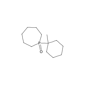 CC1(P2(=O)CCCCCC2)CCCCC1